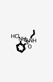 CCCNS(=O)(=O)c1ccccc1N.Cl